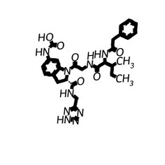 CCC(C)C(NC(=O)Cc1ccccc1)C(=O)NCC(=O)N1c2cc(NC(=O)O)ccc2C[C@H]1C(=O)NCc1nn[nH]n1